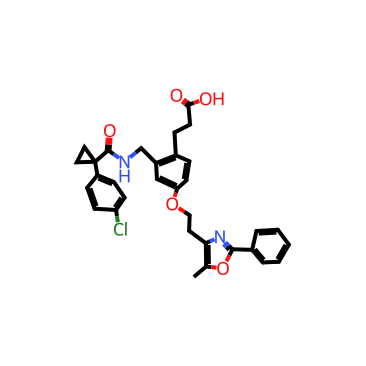 Cc1oc(-c2ccccc2)nc1CCOc1ccc(CCC(=O)O)c(CNC(=O)C2(c3ccc(Cl)cc3)CC2)c1